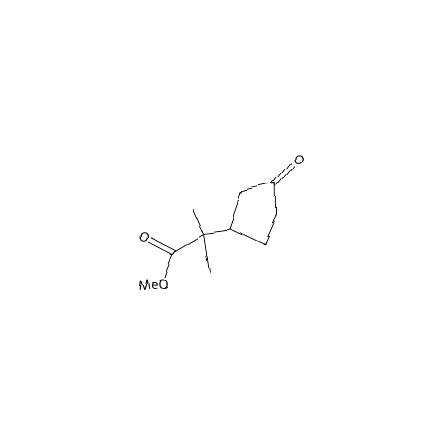 COC(=O)C(C)(C)C1CCC(=O)C1